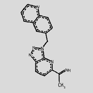 CC(=N)c1ccc2nnn(Cc3ccc4ncccc4c3)c2n1